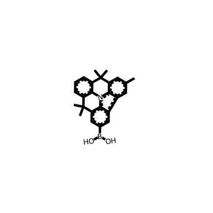 Cc1cc2c3c(c1)c1cc(B(O)O)cc4c1n3-c1c(cccc1C4(C)C)C2(C)C